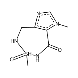 Cn1cnc2c1C(=O)N[SH](C)(=O)NC2